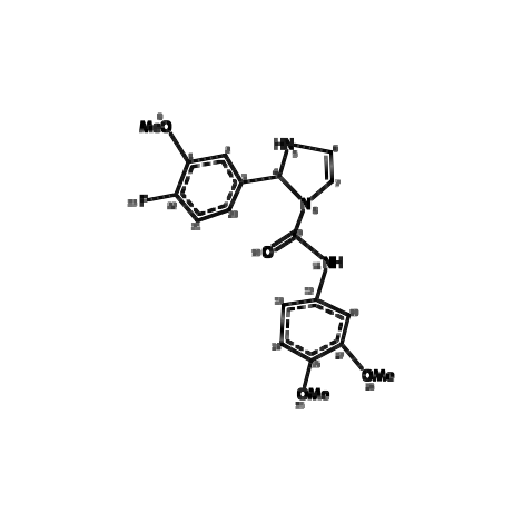 COc1cc(C2NC=CN2C(=O)Nc2ccc(OC)c(OC)c2)ccc1F